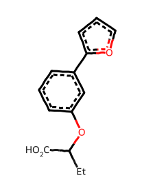 CCC(Oc1cccc(-c2ccco2)c1)C(=O)O